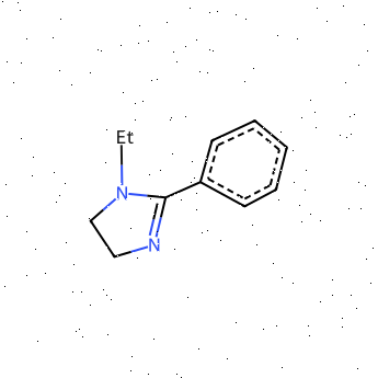 CCN1CCN=C1c1ccccc1